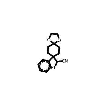 CCC(C#N)C1(c2ccccc2)CCC2(CC1)OCCO2